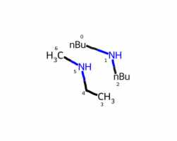 CCCCNCCCC.CCNC